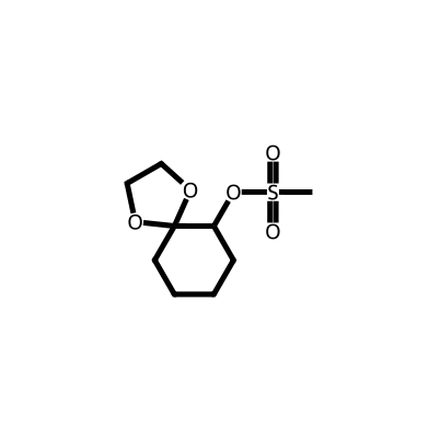 CS(=O)(=O)OC1CCCCC12OCCO2